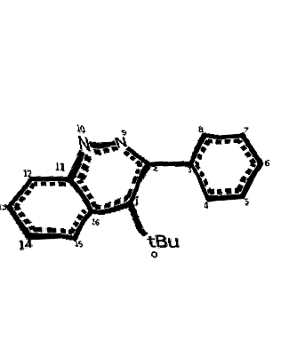 CC(C)(C)c1c(-c2ccccc2)nnc2ccccc12